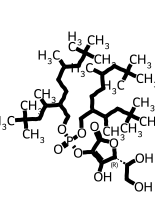 CC(CCC(COP(=O)(OCC(CCC(C)CC(C)(C)C)C(C)CC(C)(C)C)OC1=C(O)[C@@H](C(O)CO)OC1=O)C(C)CC(C)(C)C)CC(C)(C)C